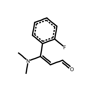 CN(C)/C(=C/C=O)c1ccccc1F